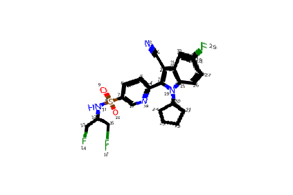 N#Cc1c(-c2ccc(S(=O)(=O)NC(CF)CF)cn2)n(C2CCCC2)c2ccc(F)cc12